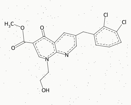 COC(=O)c1cn(CCO)c2ncc(Cc3cccc(Cl)c3Cl)cc2c1=O